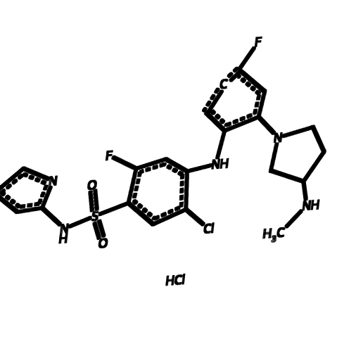 CNC1CCN(c2cc(F)ccc2Nc2cc(F)c(S(=O)(=O)Nc3cscn3)cc2Cl)C1.Cl